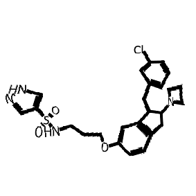 O=S(=O)(NCCCOc1ccc2c(c1)C(Cc1cccc(Cl)c1)C(N1CCC1)C2)c1cn[nH]c1